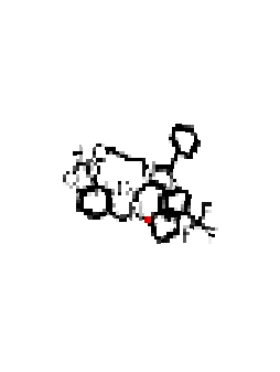 CCCCn1c(-c2ccccc2)nc(-c2ccccc2)c1[C@@H](C)N(Cc1cccc(C(F)(F)F)c1)Cc1ccc2c(c1)OCO2